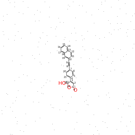 O=C1C=C(c2ccc(C#Cc3ccc4ccccc4c3)cc2)C(O)O1